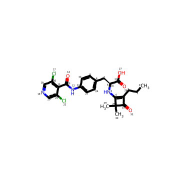 CCCC1=C(N[C@@H](Cc2ccc(NC(=O)c3c(Cl)cncc3Cl)cc2)C(=O)O)C(C)(C)C1=O